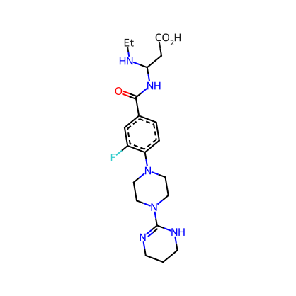 CCNC(CC(=O)O)NC(=O)c1ccc(N2CCN(C3=NCCCN3)CC2)c(F)c1